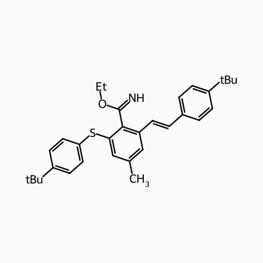 CCOC(=N)c1c(C=Cc2ccc(C(C)(C)C)cc2)cc(C)cc1Sc1ccc(C(C)(C)C)cc1